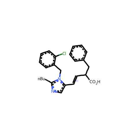 CCCCc1ncc(/C=C/C(Cc2ccccc2)C(=O)O)n1Cc1ccccc1Cl